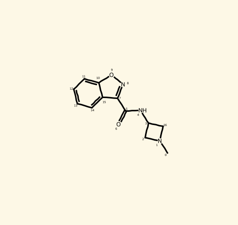 CN1CC(NC(=O)c2noc3ccccc23)C1